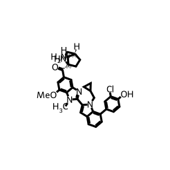 COc1cc(C(=O)[C@]23CC[C@H](CN2)[C@H]3N)cc2nc(-c3cc4cccc(-c5ccc(O)c(Cl)c5)c4n3CC3CC3)n(C)c12